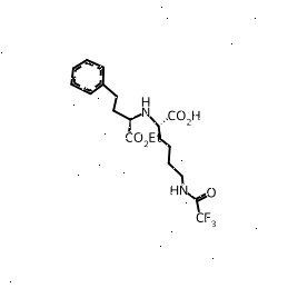 CCOC(=O)[C@@H](CCc1ccccc1)N[C@@H](CCCCNC(=O)C(F)(F)F)C(=O)O